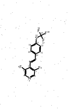 Fc1cncc(F)c1C=Cc1ccc(SC(F)(F)F)cc1